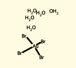 O.O.O.O.O.[Br][Au]([Br])([Br])[Br]